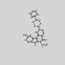 CCOC(=O)c1c(=O)c2ccc(N3CCN(c4ncccn4)CC3)nc2n2c1sc1ccc(Cl)cc12